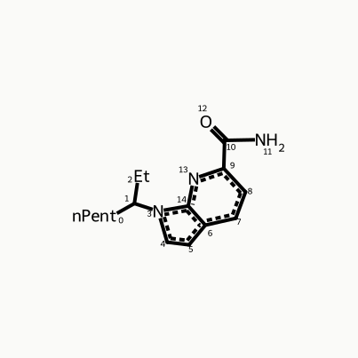 CCCCCC(CC)n1ccc2ccc(C(N)=O)nc21